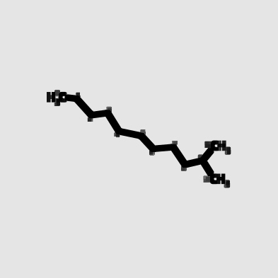 CC[CH]CCCCCCC(C)C